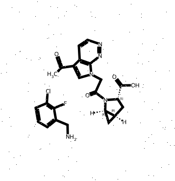 CC(=O)c1cn(CC(=O)N2[C@@H]3C[C@@H]3C[C@H]2C(=O)O)c2nnccc12.NCc1cccc(Cl)c1F